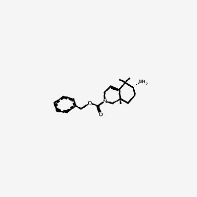 CC1(C)C2=CCN(C(=O)OCc3ccccc3)C[C@@]2(C)CC[C@H]1N